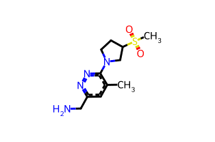 Cc1cc(CN)nnc1N1CCC(S(C)(=O)=O)C1